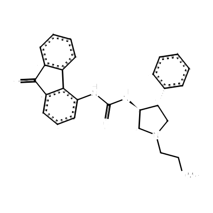 COCCN1C[C@@H](NC(=O)Nc2cccc3c2-c2ccccc2C3=O)[C@H](c2ccccc2)C1